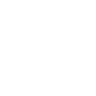 O=S1(=O)CCS(=O)(=O)c2cc(C3CSc4ccc(C5COc6ccccc6S5(=O)=O)cc4S3)ccc21